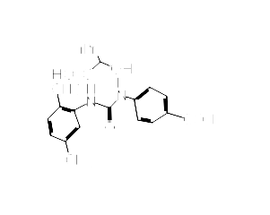 CC(C)C(O)C(=O)O.Cc1ccc(C)c(NC(=O)Nc2ccc(C(=O)O)cc2)c1